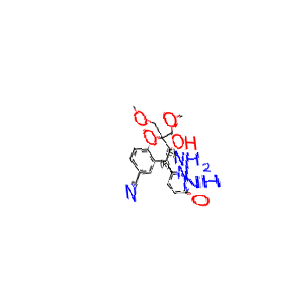 COCC1(COC)Oc2ccc(C#N)cc2[C@H](c2ccc(=O)[nH]n2)[C@]1(N)O